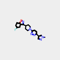 Cn1cc(-c2ccc(N3CCC(c4noc5ccc(F)cc45)CC3)nn2)cn1